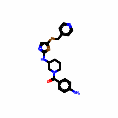 Nc1ccc(C(=O)N2CCCC(Nc3ncc(SCc4ccncc4)s3)C2)cc1